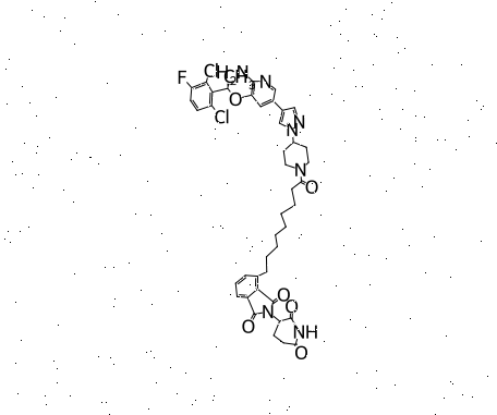 C[C@@H](Oc1cc(-c2cnn(C3CCN(C(=O)CCCCCCCCc4cccc5c4C(=O)N(C4CCC(=O)NC4=O)C5=O)CC3)c2)cnc1N)c1c(Cl)ccc(F)c1Cl